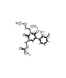 COC[C@H](C)n1c(=O)c(-c2cccc(F)c2F)cn(COC(C)=O)c1=O